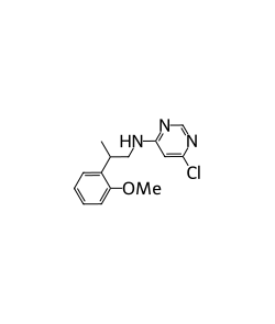 COc1ccccc1C(C)CNc1cc(Cl)ncn1